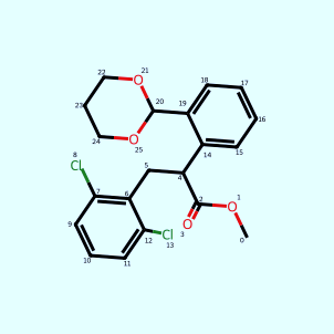 COC(=O)C(Cc1c(Cl)cccc1Cl)c1ccccc1C1OCCCO1